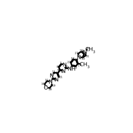 Cc1cc(Nc2nccc(-c3cnc(N4CCOCC4)nc3)n2)ccc1N1CC2CC1CN2C